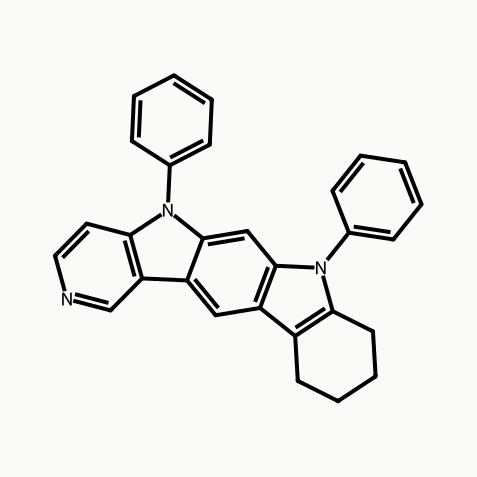 c1ccc(-n2c3c(c4cc5c6cnccc6n(-c6ccccc6)c5cc42)CCCC3)cc1